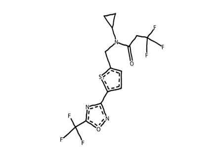 O=C(CC(F)(F)F)N(Cc1ccc(-c2noc(C(F)(F)F)n2)s1)C1CC1